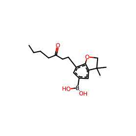 CCCCC(=O)CCc1cc(B(O)O)cc2c1OCC2(C)C